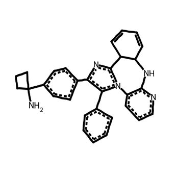 NC1(c2ccc(-c3nc4n(c3-c3ccccc3)-c3cccnc3NC3C=CC=CC43)cc2)CCC1